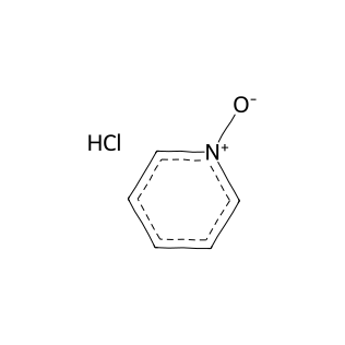 Cl.[O-][n+]1ccccc1